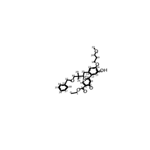 CCOC(=O)c1cn2c(cc1=O)-c1cc(O)c(OCCCOC)cc1CC2C(C)(C)COCc1ccccc1